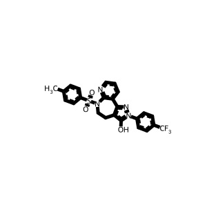 Cc1ccc(S(=O)(=O)N2CCc3c(nn(-c4ccc(C(F)(F)F)cc4)c3O)-c3cccnc32)cc1